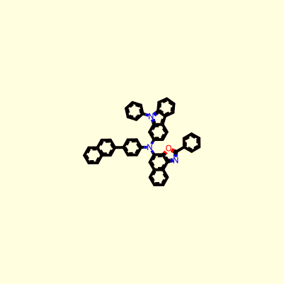 c1ccc(-c2nc3c(o2)c(N(c2ccc(-c4ccc5ccccc5c4)cc2)c2ccc4c5ccccc5n(-c5ccccc5)c4c2)cc2ccccc23)cc1